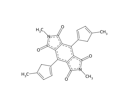 CC1=CC=C(c2c3c(=O)n(C)c(=O)c3c(C3=CC=C(C)C3)c3c(=O)n(C)c(=O)c23)C1